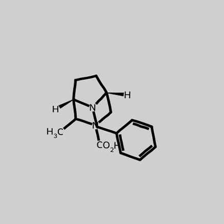 CC1[C@@H]2CC[C@H](CN1C(=O)O)N2Cc1ccccc1